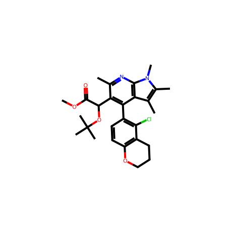 COC(=O)C(OC(C)(C)C)c1c(C)nc2c(c(C)c(C)n2C)c1-c1ccc2c(c1Cl)CCCO2